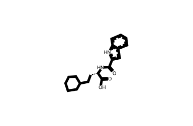 O=C(N[C@@H](CCC1CCCCC1)C(=O)O)c1cc2ccccc2[nH]1